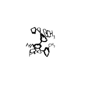 COc1ccc(-c2c[nH]c(=O)c(C(O)c3cccc(C)c3)c2)cc1OC1CCCC1